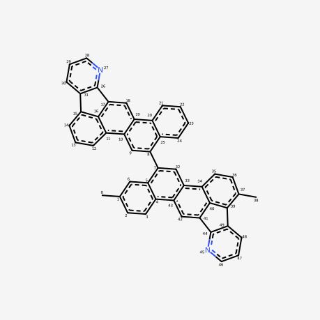 Cc1ccc2c(c1)c(-c1cc3c4cccc5c4c(cc3c3ccccc13)-c1ncccc1-5)cc1c3ccc(C)c4c3c(cc21)-c1ncccc1-4